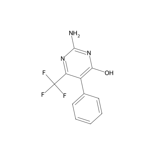 Nc1nc(O)c(-c2ccccc2)c(C(F)(F)F)n1